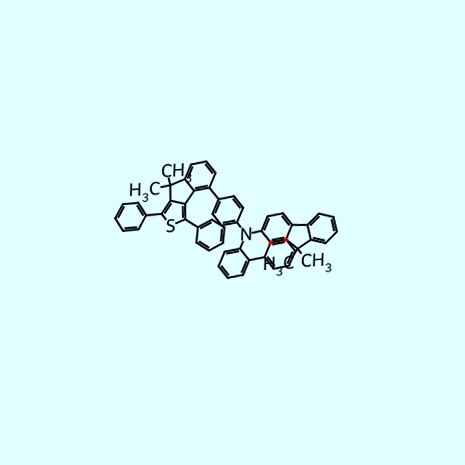 CC1(C)c2ccccc2-c2ccc(N(c3ccc(-c4cccc5c4-c4c(-c6ccccc6)sc(-c6ccccc6)c4C5(C)C)cc3)c3ccccc3-c3ccccc3)cc21